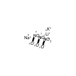 O=[N+]([O-])[O-].O=[N+]([O-])[O-].O=[N+]([O-])[O-].[K+].[Li+].[Na+]